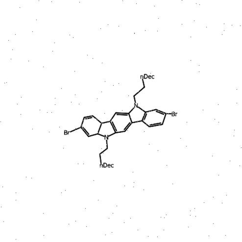 CCCCCCCCCCCCN1c2cc3c4ccc(Br)cc4n(CCCCCCCCCCCC)c3cc2C2C=CC(Br)=CC21